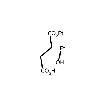 CCO.CCOC(=O)CCC(=O)O